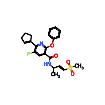 CC(/C=C/S(C)(=O)=O)NC(=O)c1cc(F)c(C2=CCCC2)nc1Oc1ccccc1